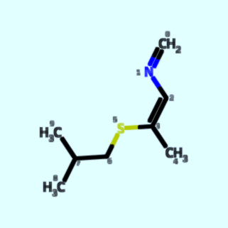 C=N/C=C(/C)SCC(C)C